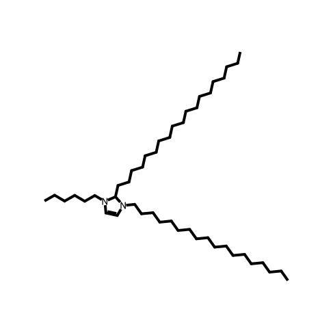 CCCCCCCCCCCCCCCCCCCC1N(CCCCCC)C=CN1CCCCCCCCCCCCCCCCCC